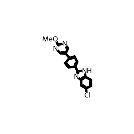 COc1ncc(-c2ccc(-c3nc4cc(Cl)ccc4[nH]3)cc2)cn1